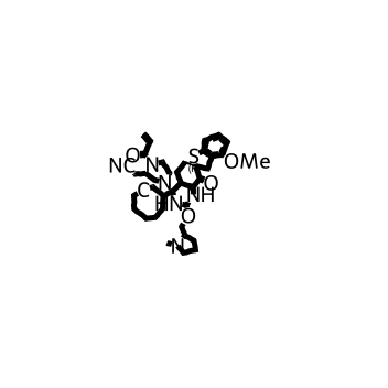 C=CC(=O)N1CCN(C2(C3CCCCCCC3)NC(OCC3CCCN3C)NC3C(=O)[C@@]4(CCC32)Cc2c(OC)cccc2S4)CC1CC#N